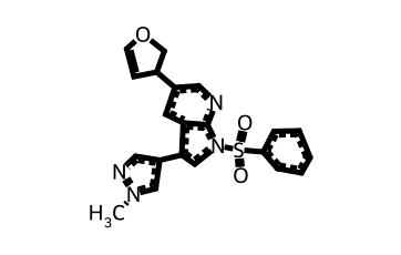 Cn1cc(-c2cn(S(=O)(=O)c3ccccc3)c3ncc(C4C=COC4)cc23)cn1